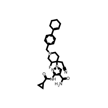 N#CCC1(n2cc(C(N)=O)c(NC(=O)C3CC3)n2)CCN(Cc2ccc(C3=CCCCC3)cc2)CC1F